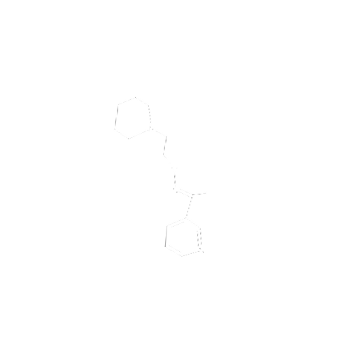 Cl.ClC(=NOCCN1CCCCC1)c1cccnc1